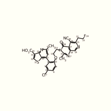 Cc1cc(-c2cc(Cl)ccc2OCCn2c(C)nc3cnc(CCF)c(C#N)c3c2=O)c2scc(C(=O)O)c2n1